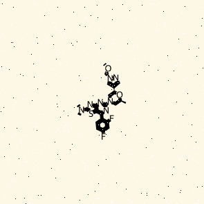 COCn1cc([C@H]2CN(c3nc(-c4ccc(F)cc4F)c4sc(N(C)C)nc4n3)C[C@H](C)O2)cn1